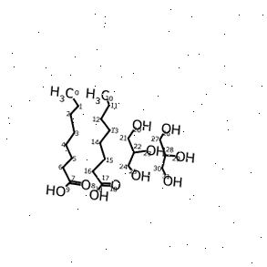 CCCCCCCC(=O)O.CCCCCCCC(=O)O.OCC(O)CO.OCC(O)CO